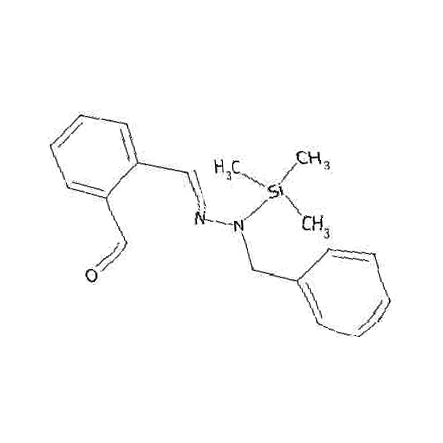 C[Si](C)(C)N(Cc1ccccc1)N=Cc1ccccc1C=O